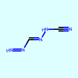 N#CN/N=C/N=N